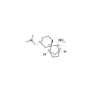 CN(C)C[C@@H]1CCC[C@]2(C1)[C@@H]1CC[C@@H](C1)[C@H]2N